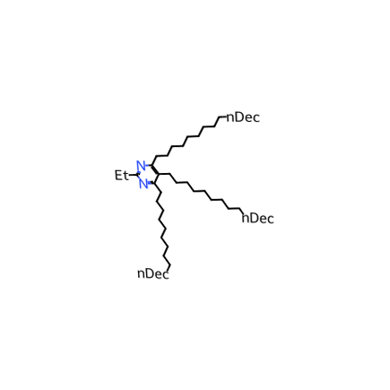 [CH2]Cc1nc(CCCCCCCCCCCCCCCCCCC)c(CCCCCCCCCCCCCCCCCCC)c(CCCCCCCCCCCCCCCCCCC)n1